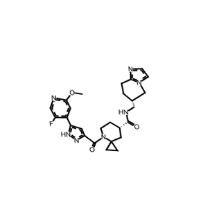 COc1cc(-c2cc(C(=O)N3CC[C@H](C(=O)NC[C@@H]4CCc5nccn5C4)CC34CC4)n[nH]2)c(F)cn1